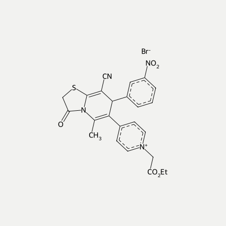 CCOC(=O)C[n+]1ccc(C2=C(C)N3C(=O)CSC3=C(C#N)C2c2cccc([N+](=O)[O-])c2)cc1.[Br-]